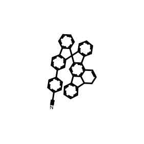 N#Cc1ccc(-c2ccc3c(c2)C2(c4ccccc4-3)c3ccccc3-c3c2cc2c4c3C=CCC4c3ccccc3-2)cc1